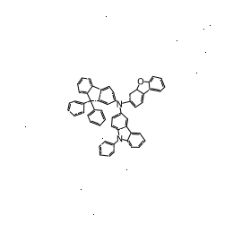 C1=C2c3ccccc3OC2CC(N(c2ccc3c(c2)C(c2ccccc2)(c2ccccc2)c2ccccc2-3)c2ccc3c(c2)c2ccccc2n3-c2ccccc2)=C1